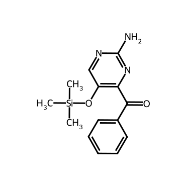 C[Si](C)(C)Oc1cnc(N)nc1C(=O)c1ccccc1